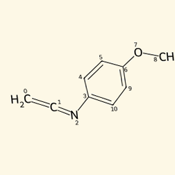 C=C=Nc1ccc(OC)cc1